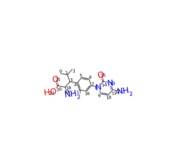 CC(C)C(c1ccc(-n2ccc(N)nc2=O)cc1)C(N)C(=O)O